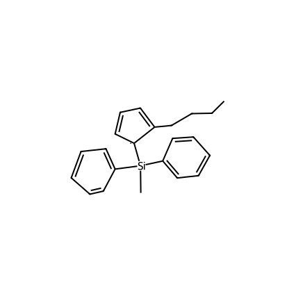 CCCCC1=CC=C[C]1[Si](C)(c1ccccc1)c1ccccc1